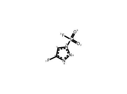 O=S(=O)(F)n1cc(F)nn1